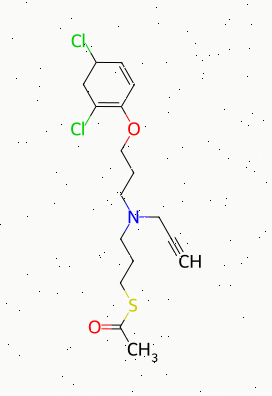 C#CCN(CCCOC1=C(Cl)CC(Cl)C=C1)CCCSC(C)=O